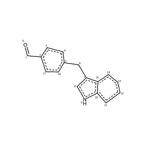 O=Cc1ccc(Cc2c[nH]c3ccccc23)cc1